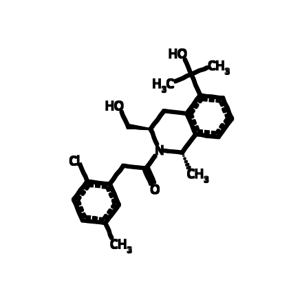 Cc1ccc(Cl)c(CC(=O)N2[C@@H](CO)Cc3c(cccc3C(C)(C)O)[C@@H]2C)c1